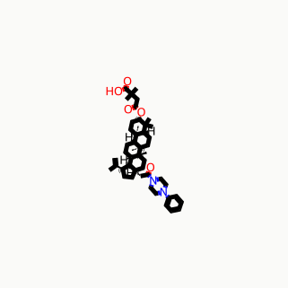 C=C(C)[C@@H]1CC[C@]2(CC(=O)N3CCN(c4ccccc4)CC3)CC[C@]3(C)[C@H](CC[C@@H]4[C@@]5(C)CC[C@H](OC(=O)CC(C)(C)C(=O)O)C(C)(C)[C@@H]5CC[C@]43C)[C@@H]12